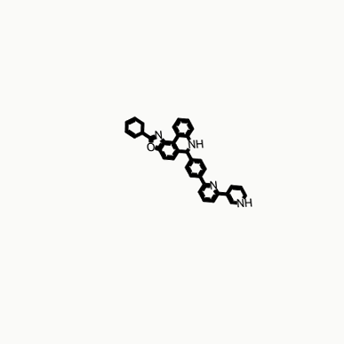 C1=CCC(c2nc3c4c(ccc3o2)C(c2ccc(-c3cccc(C5=CNCC=C5)n3)cc2)Nc2ccccc2-4)C=C1